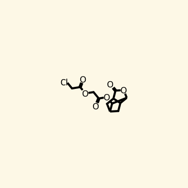 O=C(CCl)OCC(=O)OC1C2CC3C(=O)OC1C3C2